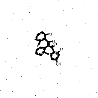 Cc1ccccc1-c1c(-c2c(F)cccc2Cl)noc1-c1ccc(O)cc1Cl